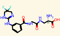 N[C@@H](CNC(=O)CNC(=O)c1cccc(NC2=NCC(F)(F)CN2)c1)C(=O)O